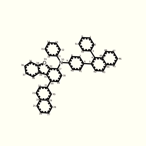 c1ccc(-c2c(-c3ccc(N(c4ccccc4)c4ccc(-c5ccc6ccccc6c5)c5c4oc4ccccc45)cc3)ccc3ccccc23)cc1